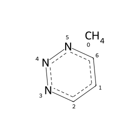 C.c1cnnnc1